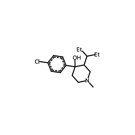 CCC(CC)C1CN(C)CCC1(O)c1ccc(Cl)cc1